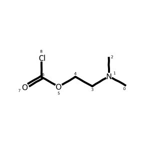 CN(C)CCOC(=O)Cl